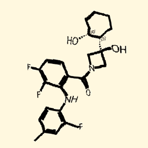 Cc1ccc(Nc2c(C(=O)N3CC(O)([C@H]4CCCC[C@H]4O)C3)ccc(F)c2F)c(F)c1